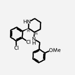 COc1ccccc1CN[C@@H]1CCCN[C@@H]1c1cccc(Cl)c1Cl